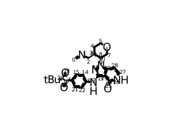 C=NC[C@H]1CCOC[C@@H]1n1nc(Nc2ccc(S(=O)(=O)C(C)(C)C)cc2)c2c(=O)[nH]ccc21